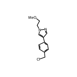 COCCn1cc(-c2ccc(CCl)cc2)cn1